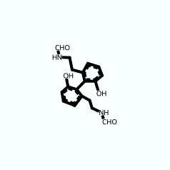 O=CNCCc1cccc(O)c1-c1c(O)cccc1CCNC=O